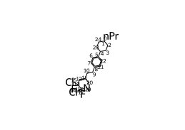 CCCC1CCC(c2ccc(CCC3=CC(F)(Cl)C(F)(Cl)N=C3)cc2)CC1